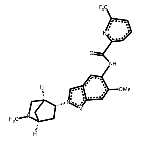 COc1cc2nn([C@@H]3C[C@@H]4C[C@H]3CN4C)cc2cc1NC(=O)c1cccc(C(F)(F)F)n1